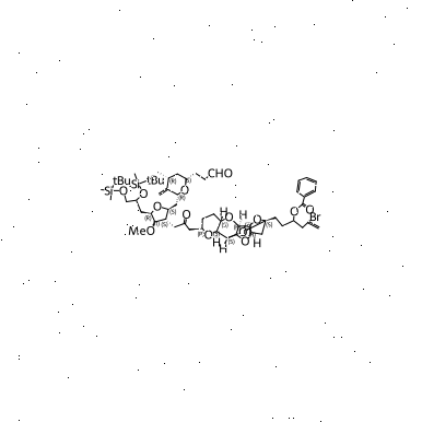 C=C(Br)CC(CC[C@@]12C[C@H]3OC4[C@@H](O[C@H]5CC[C@H](CC(=O)C[C@@H]6[C@@H](OC)[C@@H](CC(CO[Si](C)(C)C(C)(C)C)O[Si](C)(C)C(C)(C)C)O[C@H]6C[C@H]6O[C@@H](CCC=O)C[C@@H](C)C6=C)O[C@@H]5[C@@H]4O1)[C@H]3O2)OC(=O)c1ccccc1